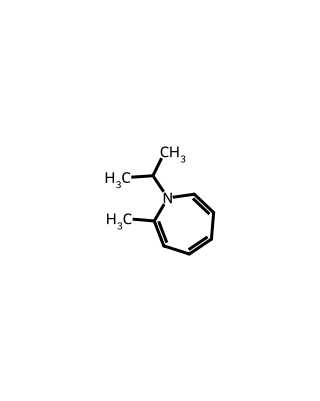 CC1=CC=CC=CN1C(C)C